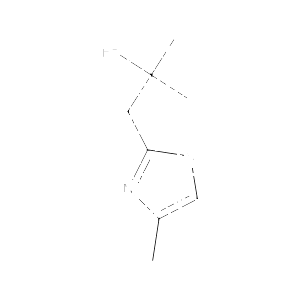 CCC(C)(C)Cc1nc(C)cs1